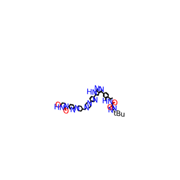 Cc1cc(-c2ncnc3[nH]c(-c4ccc(N5CCN(CC6CCN(c7ccc(N8CCC(=O)NC8=O)cn7)CC6)CC5)cn4)cc23)ccc1C(C)NC(=O)c1nc(C(C)(C)C)no1